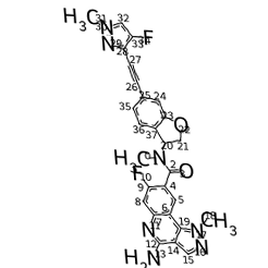 CN(C(=O)c1cc2c(cc1F)nc(N)c1cnn(C)c12)C1COc2cc(C#Cc3nn(C)cc3F)ccc21